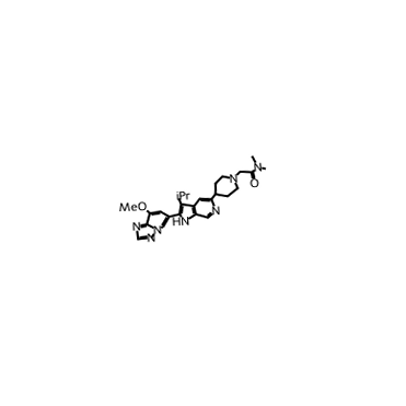 COc1cc(-c2[nH]c3cnc(C4CCN(CC(=O)N(C)C)CC4)cc3c2C(C)C)cn2ncnc12